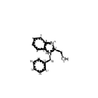 OCc1nc2ccccc2n1Cc1ccccc1